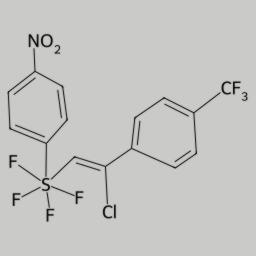 O=[N+]([O-])c1ccc(S(F)(F)(F)(F)C=C(Cl)c2ccc(C(F)(F)F)cc2)cc1